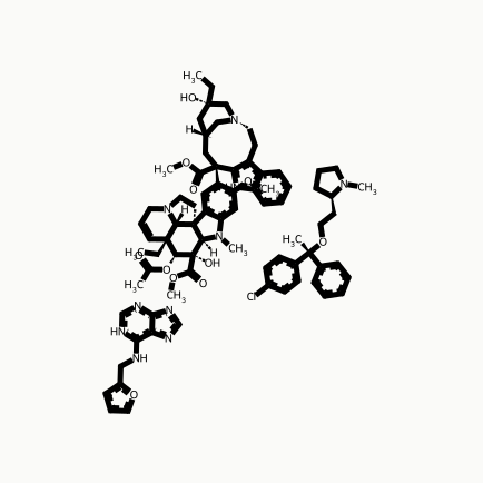 CC[C@]1(O)C[C@@H]2C[N@@](CCc3c([nH]c4ccccc34)[C@@](C(=O)OC)(c3cc4c(cc3OC)N(C)[C@H]3[C@@](O)(C(=O)OC)[C@H](OC(C)=O)[C@]5(CC)C=CCN6CC[C@]43[C@@H]65)C2)C1.CN1CCC[C@@H]1CCO[C@](C)(c1ccccc1)c1ccc(Cl)cc1.c1coc(CNc2[nH]cnc3ncnc2-3)c1